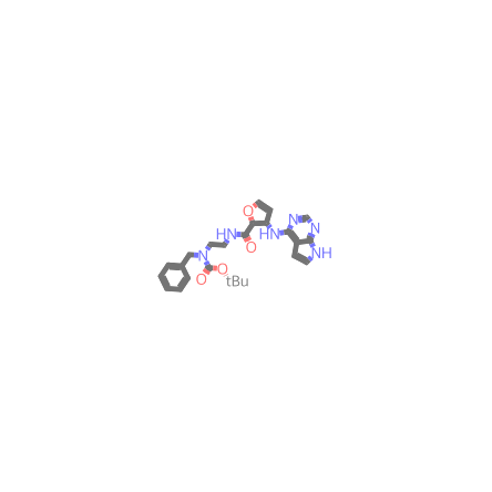 CC(C)(C)OC(=O)N(CCNC(=O)C1OC=CC1Nc1ncnc2[nH]ccc12)Cc1ccccc1